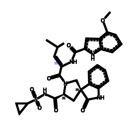 COc1cccc2[nH]c(C(=O)N/C(=C\C(C)C)C(=O)N3C[C@]4(C[C@H]3C(=O)NS(=O)(=O)C3CC3)C(=O)Nc3ccccc34)cc12